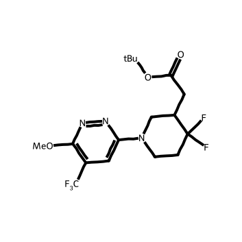 COc1nnc(N2CCC(F)(F)C(CC(=O)OC(C)(C)C)C2)cc1C(F)(F)F